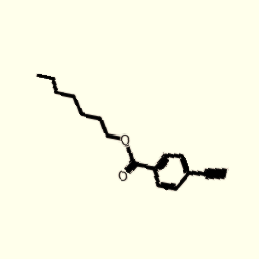 C#Cc1ccc(C(=O)OCCCCCCC)cc1